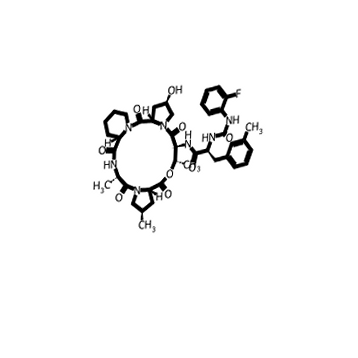 Cc1cccc(C[C@H](NC(=O)Nc2ccccc2F)C(=O)N[C@@H]2C(=O)N3C[C@H](O)C[C@H]3C(=O)N3CCCC[C@H]3C(=O)N[C@@H](C)C(=O)N3C[C@H](C)C[C@H]3C(=O)O[C@H]2C)c1